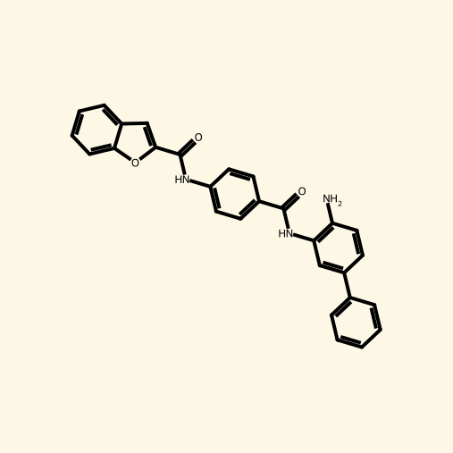 Nc1ccc(-c2ccccc2)cc1NC(=O)c1ccc(NC(=O)c2cc3ccccc3o2)cc1